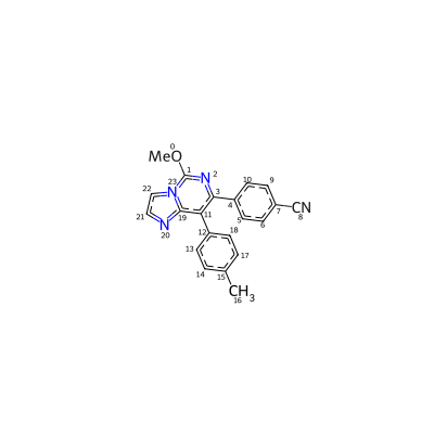 COc1nc(-c2ccc(C#N)cc2)c(-c2ccc(C)cc2)c2nccn12